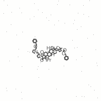 CC(C)C1=C2[C@H]3CC[C@@H]4[C@]5(C)CC[C@H]([C@@]6(C(=O)O)C[C@@H](C(=O)OCc7ccccc7)C6(C)C)C(C)(C)[C@H]5CC[C@@]4(C)[C@]3(C)CC[C@@]2(C(=O)N2CCCC2CN2CCCC2COCc2ccccc2)CC1=O